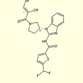 CC(C)/C=C(\C#N)C(=O)N1CC[C@@H](n2c(NC(=O)c3ccc(C(F)F)s3)nc3ccccc32)C1